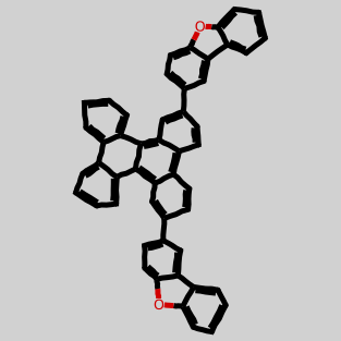 c1ccc2c(c1)oc1ccc(-c3ccc4c5ccc(-c6ccc7oc8ccccc8c7c6)cc5c5c6ccccc6c6ccccc6c5c4c3)cc12